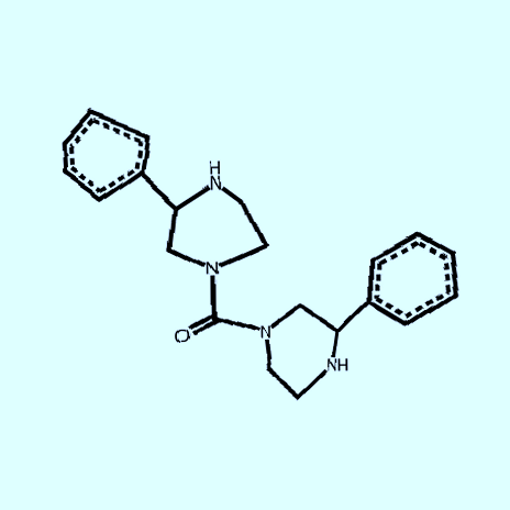 O=C(N1CCNC(c2ccccc2)C1)N1CCNC(c2ccccc2)C1